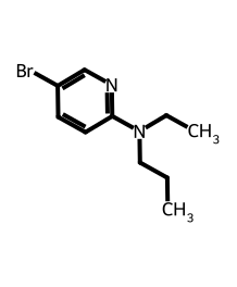 CCCN(CC)c1ccc(Br)cn1